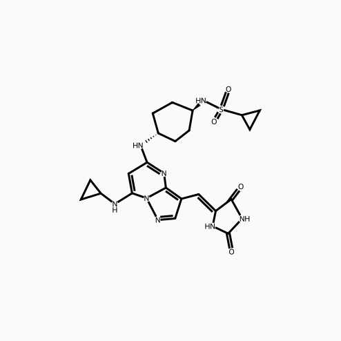 O=C1NC(=O)/C(=C/c2cnn3c(NC4CC4)cc(N[C@H]4CC[C@H](NS(=O)(=O)C5CC5)CC4)nc23)N1